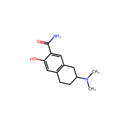 CN(C)C1CCc2cc(O)c(C(N)=O)cc2C1